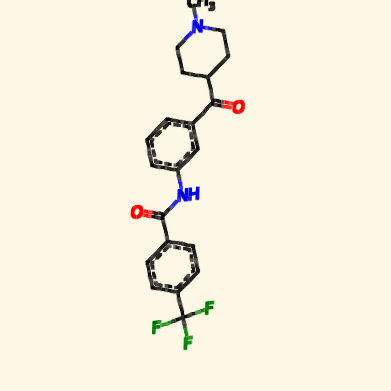 CN1CCC(C(=O)c2cccc(NC(=O)c3ccc(C(F)(F)F)cc3)c2)CC1